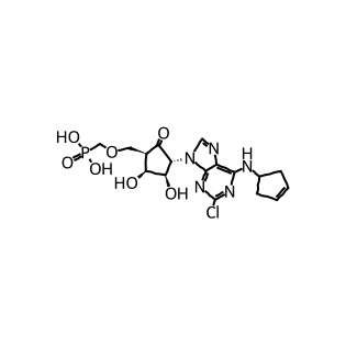 O=C1[C@H](COCP(=O)(O)O)[C@H](O)[C@H](O)[C@H]1n1cnc2c(NC3CC=CC3)nc(Cl)nc21